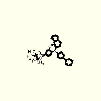 CC1(C)OB(c2ccc3c(c2)Oc2c(ccc4ccccc24)N3c2ccc(-c3ccccc3)cc2)OC1(C)C